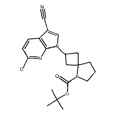 CC(C)(C)OC(=O)N1CCCC12CC(n1cc(C#N)c3ccc(Cl)nc31)C2